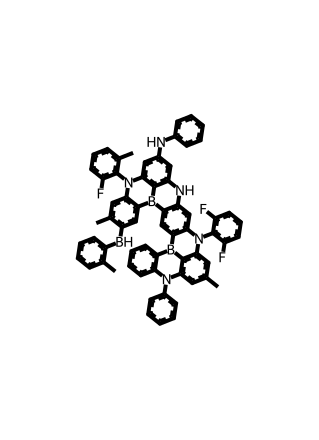 Cc1cc2c3c(c1)N(c1c(F)cccc1F)c1cc4c(cc1B3c1ccccc1N2c1ccccc1)B1c2cc(Bc3ccccc3C)c(C)cc2N(c2c(C)cccc2F)c2cc(Nc3ccccc3)cc(c21)N4